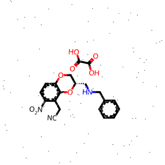 N#CCc1c([N+](=O)[O-])ccc2c1O[C@@H](CNCc1ccccc1)CO2.O=C(O)C(=O)O